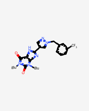 CCC(C)n1c(=O)c2[nH]c(-c3cnn(Cc4cccc(C(F)(F)F)c4)c3)nc2n(C(C)CC)c1=O